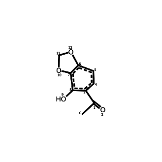 CC(=O)c1ccc2c(c1O)OCO2